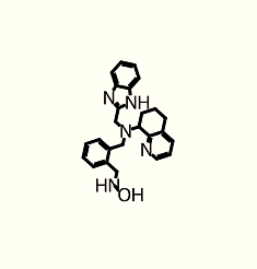 ONCc1ccccc1CN(Cc1nc2ccccc2[nH]1)C1CCCc2cccnc21